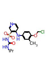 Cc1cc(Nc2ccncc2S(=O)(=O)NC(=O)NC(C)C)ccc1OCCl